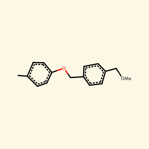 COCc1ccc(COc2ccc(C)cc2)cc1